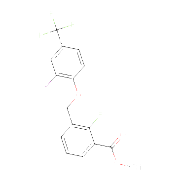 COC(=O)c1cccc(COc2ccc(C(F)(F)F)cc2I)c1F